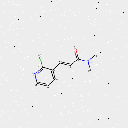 CN(C)C(=O)C=Cc1cccnc1Cl